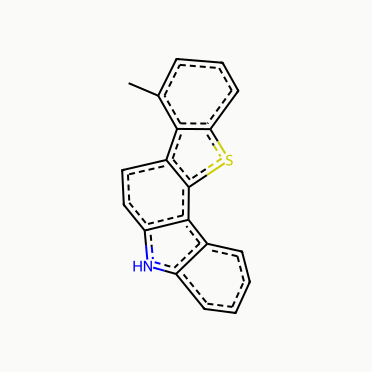 Cc1cccc2sc3c(ccc4[nH]c5ccccc5c43)c12